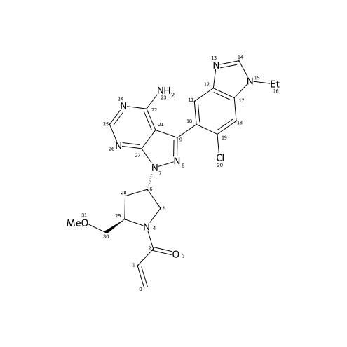 C=CC(=O)N1C[C@@H](n2nc(-c3cc4ncn(CC)c4cc3Cl)c3c(N)ncnc32)C[C@@H]1COC